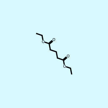 CCOC(=O)[CH]CCC(=O)OCC